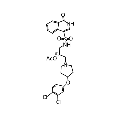 CC(=O)O[C@H](CNS(=O)(=O)c1c[nH]c(=O)c2ccccc12)CN1CCC(Oc2ccc(Cl)c(Cl)c2)CC1